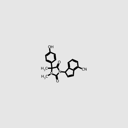 CN1C(=O)N(C2C=Cc3c(C#N)cccc32)C(=O)C1(C)c1ccc(O)cc1